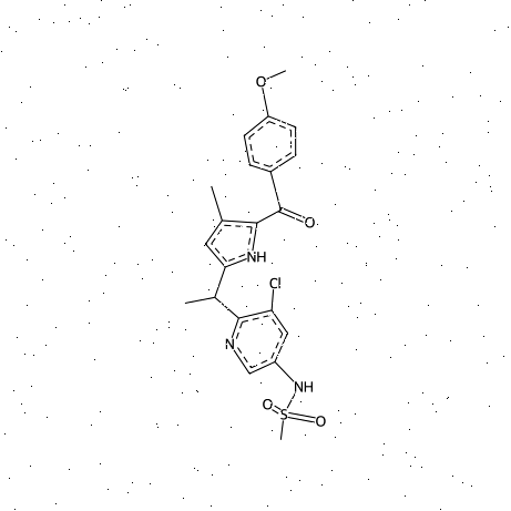 COc1ccc(C(=O)c2[nH]c(C(C)c3ncc(NS(C)(=O)=O)cc3Cl)cc2C)cc1